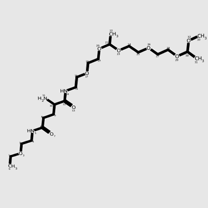 CCOCCNC(=O)CCC(N)C(=O)NCCOCCOC(C)OCCOCCOC(C)OC